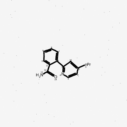 CCCc1ccnc(-c2ccccc2C(N)=O)c1